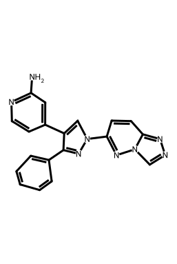 Nc1cc(-c2cn(-c3ccc4nncn4n3)nc2-c2ccccc2)ccn1